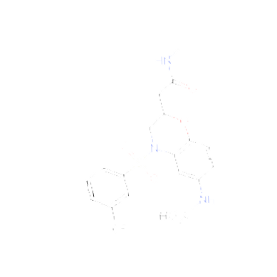 CCNC(=O)CC1CN(S(=O)(=O)c2cccc(C(F)(F)F)c2)c2cc(NC(=O)O)ccc2O1